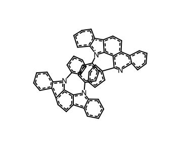 c1ccc(-c2nc3ccccc3c3ccc4c5ccccc5n(-c5ccc(-n6c7ccccc7c7ccc8c9ccccc9n(-c9ccccc9)c8c76)cc5)c4c23)cc1